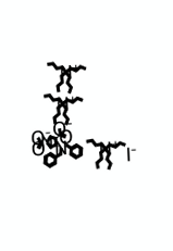 CCCC[N+](CCCC)(CCCC)CCCC.CCCC[N+](CCCC)(CCCC)CCCC.CCCC[N+](CCCC)(CCCC)CCCC.O=C([O-])[C@@H]1CN(C(=O)[O-])C[C@H]1N(Cc1ccccc1)Cc1ccccc1.[I-]